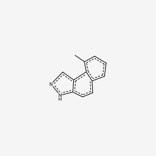 Cc1cccc2ccc3[nH]ncc3c12